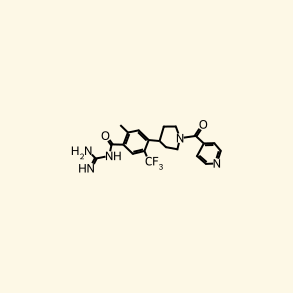 Cc1cc(C2CCN(C(=O)c3ccncc3)CC2)c(C(F)(F)F)cc1C(=O)NC(=N)N